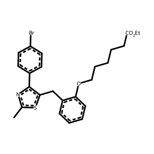 CCOC(=O)CCCCCOc1ccccc1Cc1sc(C)nc1-c1ccc(Br)cc1